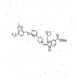 COC(=O)c1ccc2c(c1)N(C[C@@H]1CCO1)C(=CN1CCC(c3cccc(OCc4ccc(C(F)(F)F)c5cc(C)oc45)n3)CC1)N2